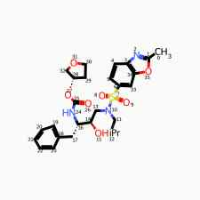 Cc1nc2ccc(S(=O)(=O)N(CC(C)C)C[C@@H](O)[C@H](Cc3ccccc3)NC(=O)O[C@H]3CCOC3)cc2o1